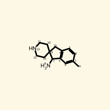 Cc1ccc2c(c1)C(N)C1(CCNCC1)C2